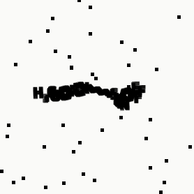 COc1ccc(N2CCN(CCCCCCSc3ccnc4cc(C(F)(F)F)ccc34)CC2)cc1